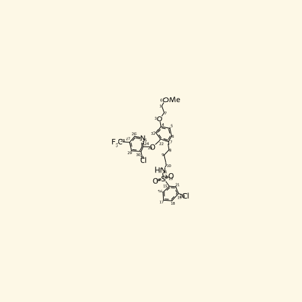 COCCOc1ccc(CCCNS(=O)(=O)c2cccc(Cl)c2)c(Oc2ncc(C(F)(F)F)cc2Cl)c1